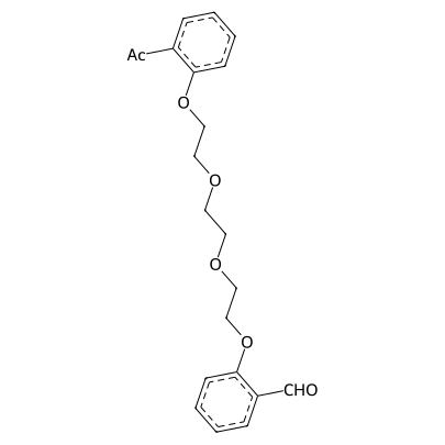 CC(=O)c1ccccc1OCCOCCOCCOc1ccccc1C=O